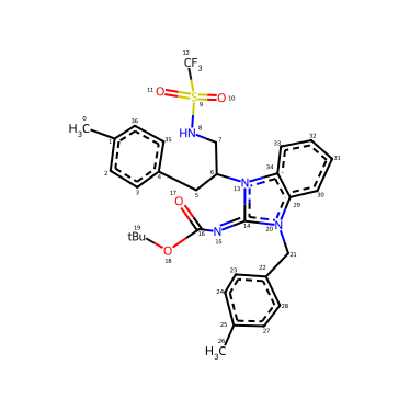 Cc1ccc(CC(CNS(=O)(=O)C(F)(F)F)n2c(=NC(=O)OC(C)(C)C)n(Cc3ccc(C)cc3)c3ccccc32)cc1